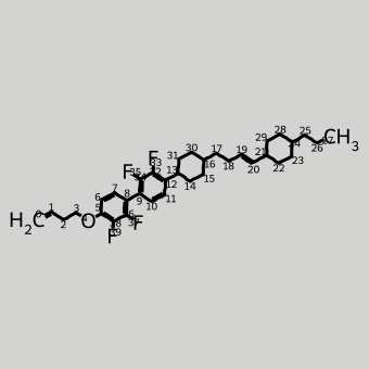 C=CCCOc1ccc(-c2ccc(C3CCC(CC/C=C/C4CCC(CCC)CC4)CC3)c(F)c2F)c(F)c1F